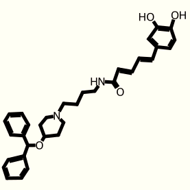 O=C(C=CC=Cc1ccc(O)c(O)c1)NCCCCN1CCC(OC(c2ccccc2)c2ccccc2)CC1